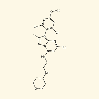 CCOc1cc(Cl)c(-c2c(C)nn3c(NCCNC4CCOCC4)cc(CC)nc23)c(Cl)c1